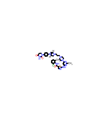 Cc1nc(Nc2ncc(C(=O)Nc3c(C)cccc3Cl)s2)cc(N2CCN(CCCN3C[C@H]4C[C@@H]3CN4c3ccc(N4CCC(=O)NC4=O)cc3)CC2)n1